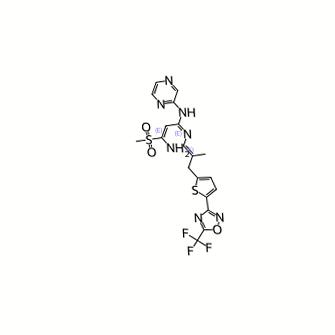 C\C(=C/N=C(\C=C(/N)S(C)(=O)=O)Nc1cnccn1)Cc1ccc(-c2noc(C(F)(F)F)n2)s1